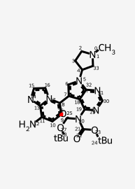 CN1CCC(n2cc(-c3ccc(N)c4nccn34)c3c(N(C(=O)OC(C)(C)C)C(=O)OC(C)(C)C)ncnc32)C1